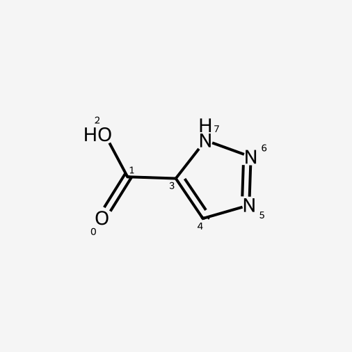 O=C(O)c1[c]nn[nH]1